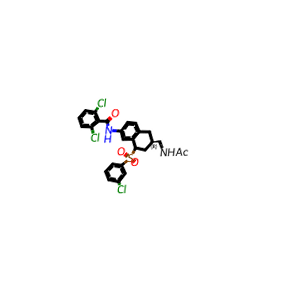 CC(=O)NC[C@@H]1Cc2ccc(NC(=O)c3c(Cl)cccc3Cl)cc2C(S(=O)(=O)c2cccc(Cl)c2)C1